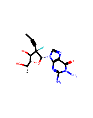 CC#C[C@@]1(F)C(O)[C@@H]([C@H](C)O)O[C@H]1n1cnc2c(=O)n(N)c(N)nc21